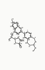 CCC1CCc2ccc(-c3cc4nn(C)cc4c(O[C@H](C)[C@H]4CNC(=O)C4)n3)cc2CC1